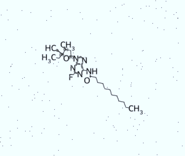 C#C[C@]1(CC)O[C@@H](n2cnc3c(NC(=O)CCCCCCCCCCC)nc(F)nc32)C[C@@H]1C